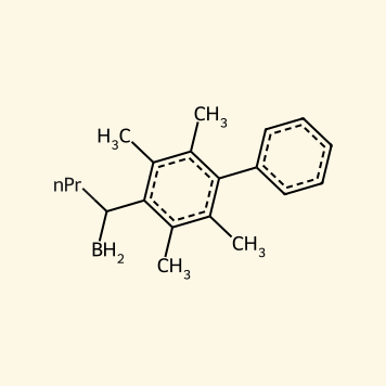 BC(CCC)c1c(C)c(C)c(-c2ccccc2)c(C)c1C